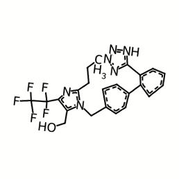 CCCc1nc(C(F)(F)C(F)(F)F)c(CO)n1Cc1ccc(-c2ccccc2-c2nnn[nH]2)cc1